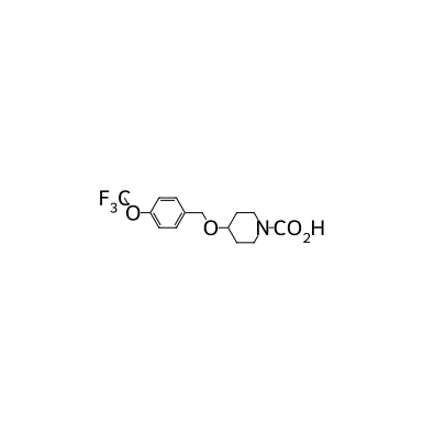 O=C(O)N1CCC(OCc2ccc(OC(F)(F)F)cc2)CC1